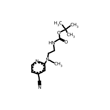 CN(CCNC(=O)OC(C)(C)C)c1cc(C#N)ccn1